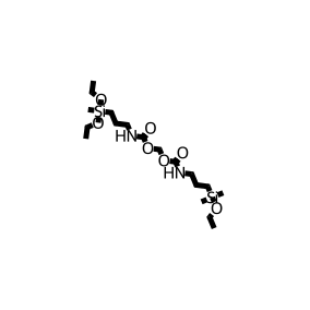 CCO[Si](C)(C)CCCNC(=O)OCOC(=O)NCCC[Si](C)(OCC)OCC